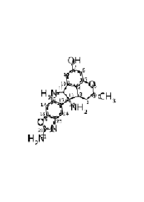 C[C@@H]1CC2c3c(cc(O)cc3C(N)[C@]2(N)c2ccc3oc(N)nc3c2)O1